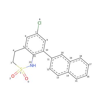 O=S1(=O)CCc2cc(Cl)cc(-c3ccc4ccccc4c3)c2N1